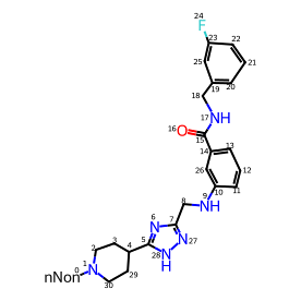 CCCCCCCCCN1CCC(c2nc(CNc3cccc(C(=O)NCc4cccc(F)c4)c3)n[nH]2)CC1